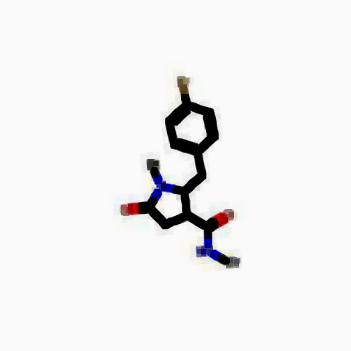 CCN1C(=O)CC(C(=O)NC(C)C)C1Cc1ccc(Br)cc1